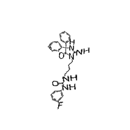 N=C1NC(c2ccccc2)(c2ccccc2)C(=O)N1CCCCNC(=O)Nc1cccc(F)c1